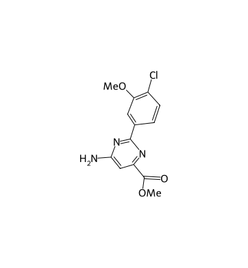 COC(=O)c1cc(N)nc(-c2ccc(Cl)c(OC)c2)n1